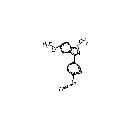 COc1ccc2c(c1)c(-c1ccc(N=C=O)cc1)nn2C